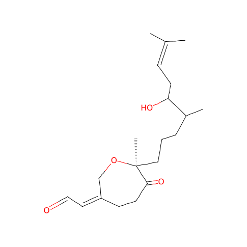 CC(C)=CCC(O)C(C)CCC[C@]1(C)OCC(=CC=O)CCC1=O